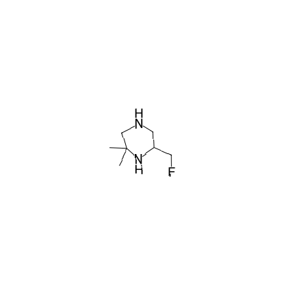 CC1(C)CNCC(CF)N1